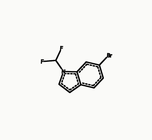 FC(F)n1ccc2ccc(Br)cc21